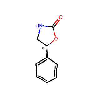 O=C1NC[C@H](c2ccccc2)O1